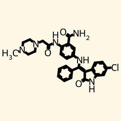 CN1CCN(CC(=O)Nc2ccc(NC(=C3C(=O)Nc4cc(Cl)ccc43)c3ccccc3)cc2C(N)=O)CC1